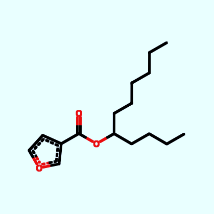 CCCCCCC(CCCC)OC(=O)c1ccoc1